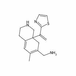 C=C(c1nccs1)C12CNCCC1=CC(C)=C(CN)C2